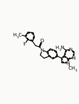 Cc1cccc(CC(=O)N2CCc3cc(-c4cn(C)c5ncnc(N)c45)ccc32)c1F